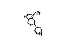 CCCn1cnc2ncc(-c3ccncc3)cc21